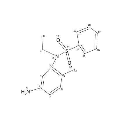 CCN(c1cc(N)ccc1C)S(=O)(=O)c1ccccc1